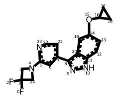 FC1(F)CN(c2cc(-c3n[nH]c4ccc(OC5CC5)cc34)ccn2)C1